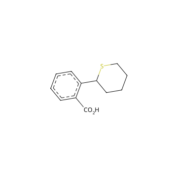 O=C(O)c1ccccc1C1CCCCS1